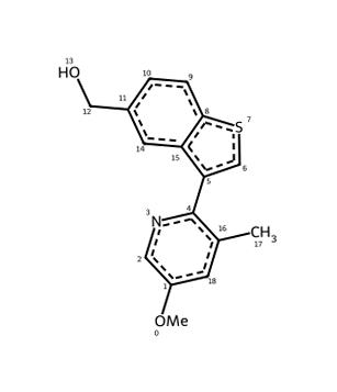 COc1cnc(-c2csc3ccc(CO)cc23)c(C)c1